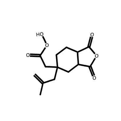 C=C(C)CC1(CC(=O)OO)CCC2C(=O)OC(=O)C2C1